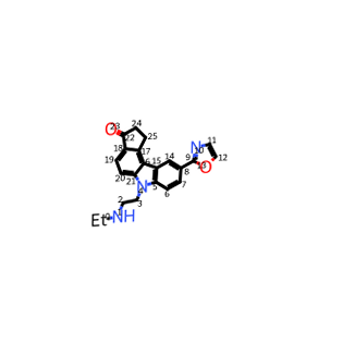 CCNCCn1c2ccc(-c3ncco3)cc2c2c3c(ccc21)C(=O)CC3